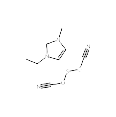 CCN1C=CN(C)C1.N#COSOC#N